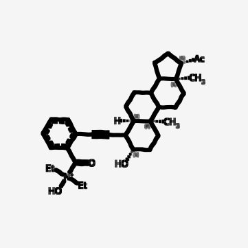 CC[N+](O)(CC)C(=O)c1ccccc1C#CC1[C@H]2CCC3C4CC[C@H](C(C)=O)[C@@]4(C)CCC3[C@@]2(C)CC[C@@H]1O